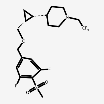 CS(=O)(=O)c1c(F)cc(COC[C@@H]2C[C@@H]2C2CCN(CC(F)(F)F)CC2)cc1F